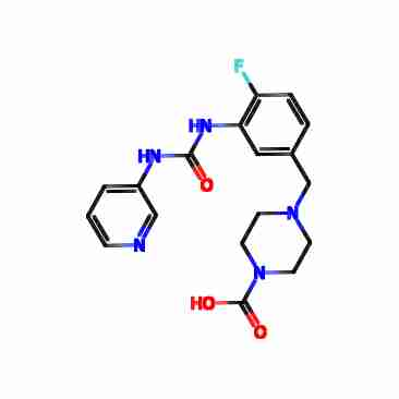 O=C(Nc1cccnc1)Nc1cc(CN2CCN(C(=O)O)CC2)ccc1F